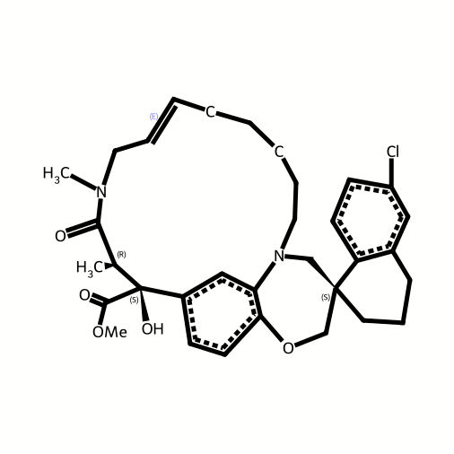 COC(=O)[C@@]1(O)c2ccc3c(c2)N(CCCCC/C=C/CN(C)C(=O)[C@@H]1C)C[C@@]1(CCCc2cc(Cl)ccc21)CO3